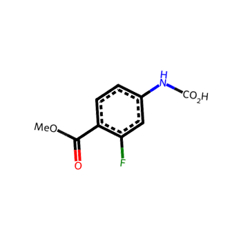 COC(=O)c1ccc(NC(=O)O)cc1F